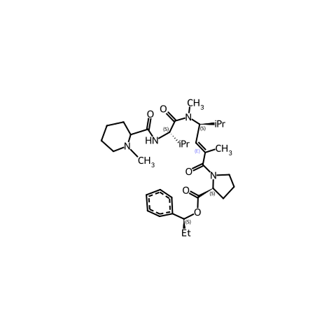 CC[C@H](OC(=O)[C@@H]1CCCN1C(=O)/C(C)=C/[C@H](C(C)C)N(C)C(=O)[C@@H](NC(=O)C1CCCCN1C)C(C)C)c1ccccc1